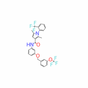 Cc1cc(C(=O)Nc2cccc(OCc3cccc(OC(F)(F)F)c3)c2)c(C)n1-c1ccccc1C(F)(F)F